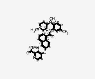 CNC(=O)c1cc(Oc2ccc3c(C(=O)Nc4cc(C(F)(F)F)ccc4N(C)C4CCN(C)CC4)cccc3c2)ccn1